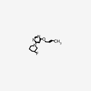 CC#CCOc1cc(N2CCCC(F)C2)ncn1